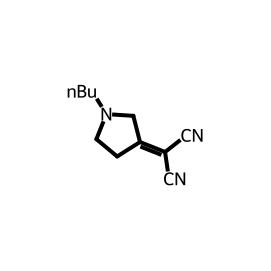 CCCCN1CCC(=C(C#N)C#N)C1